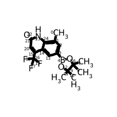 Cc1cc(B2OC(C)(C)C(C)(C)O2)cc2c(C(F)(F)F)cc(=O)[nH]c12